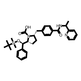 CC(NC(=O)c1ccc(C[C@@H]2CC[C@H]([C@H](O[Si](C)(C)C(C)(C)C)c3ccccc3)N2C(=O)O)cc1)c1ccccn1